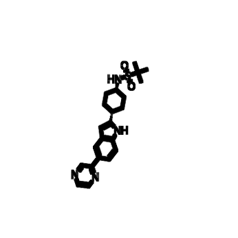 CC(C)(C)S(=O)(=O)N[C@H]1CC[C@H](c2cc3cc(-c4cnccn4)ccc3[nH]2)CC1